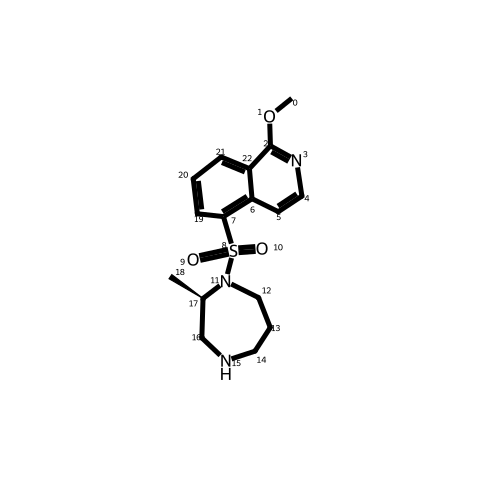 COc1nccc2c(S(=O)(=O)N3CCCNC[C@H]3C)cccc12